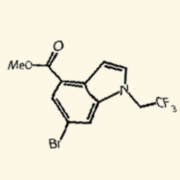 COC(=O)c1cc(Br)cc2c1ccn2CC(F)(F)F